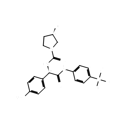 COc1ccc([C@@H](NC(=O)N2CC[C@@H](O)C2)C(=O)Nc2ccc([Si](C)(C)C)cc2)cc1